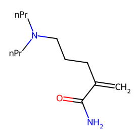 C=C(CCCN(CCC)CCC)C(N)=O